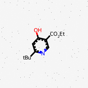 CCOC(=O)c1cnc(C(C)(C)C)cc1O